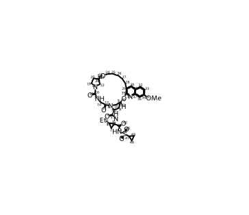 CC[C@@H]1C[C@]1(NC(=O)[C@@H]1C[C@@H]2CN1C(=O)CNC(=O)N1CC[C@@H](C1)OCCCCCc1cc3ccc(OC)cc3nc1O2)C(=O)NS(=O)(=O)C1CC1